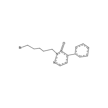 O=c1c(-c2ccccc2)ccnn1CCCCCBr